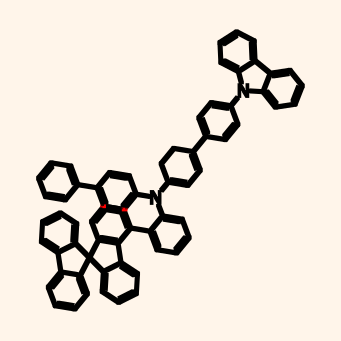 C1=C=C(c2ccccc2N(C2=CC=C(c3ccc(-n4c5ccccc5c5ccccc54)cc3)CC2)c2ccc(-c3ccccc3)cc2)C2=C(C=1)C1(c3ccccc32)c2ccccc2-c2ccccc21